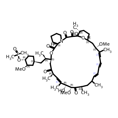 CO[C@H]1C[C@@H]2CC[C@@H](C)[C@@](O)(O2)C(=O)C(=O)N2CCCC[C@H]2C(=O)O[C@H]([C@H](C)C[C@@H]2CC[C@@H](OP(C)(C)=O)[C@H](OC)C2)CC(=O)[C@H](C)/C=C(\C)[C@@H](O)[C@@H](OC)C(=O)[C@H](C)CC(C)/C=C/C=C/C=C\1C